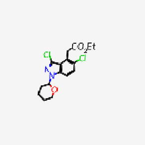 CCOC(=O)Cc1c(Cl)ccc2c1c(Cl)nn2C1CCCCO1